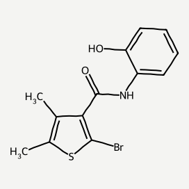 Cc1sc(Br)c(C(=O)Nc2ccccc2O)c1C